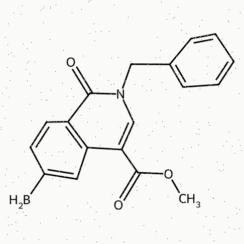 Bc1ccc2c(=O)n(Cc3ccccc3)cc(C(=O)OC)c2c1